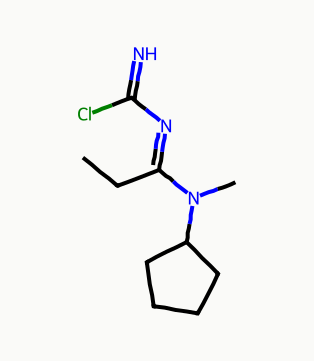 CC/C(=N\C(=N)Cl)N(C)C1CCCC1